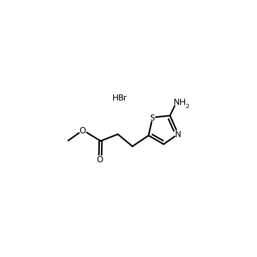 Br.COC(=O)CCc1cnc(N)s1